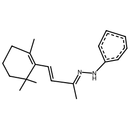 CC(C=CC1=C(C)CCCC1(C)C)=NNc1ccccc1